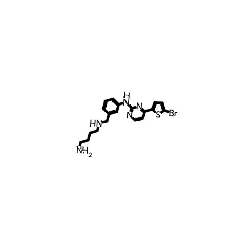 NCCCCNCc1cccc(Nc2nccc(-c3ccc(Br)s3)n2)c1